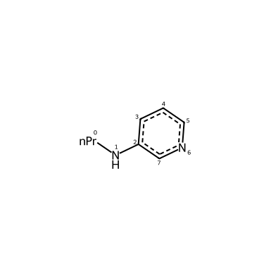 [CH2]CCNc1cccnc1